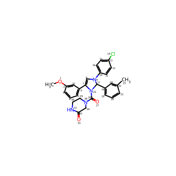 COc1cccc(C2=CN(c3ccc(Cl)cc3)C(c3cccc(C)c3)N2C(=O)N2CCNC(=O)C2)c1